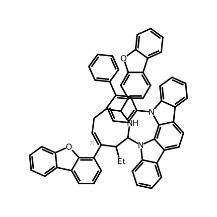 CCC1/C(c2cccc3c2oc2ccccc23)=C\CCC(c2ccc3c(c2)oc2ccccc23)NC1n1c2ccccc2c2ccc3c4ccccc4n(-c4cccc(-c5ccccc5)c4)c3c21